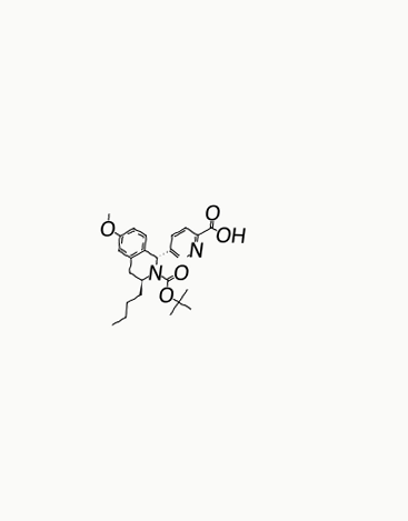 C=C(/C=C\C(=N/C)C(=O)O)[C@H]1c2ccc(OC)cc2C[C@H](CCCC)N1C(=O)OC(C)(C)C